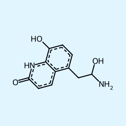 NC(O)Cc1ccc(O)c2[nH]c(=O)ccc12